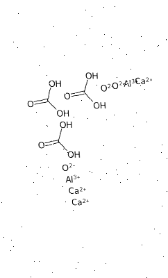 O=C(O)O.O=C(O)O.O=C(O)O.[Al+3].[Al+3].[Ca+2].[Ca+2].[Ca+2].[O-2].[O-2].[O-2]